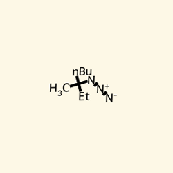 CCCCC(C)(CC)N=[N+]=[N-]